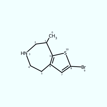 CC1CNCCc2cc(Br)sc21